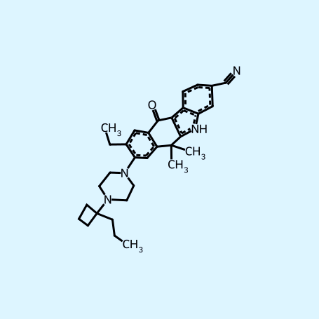 CCCC1(N2CCN(c3cc4c(cc3CC)C(=O)c3c([nH]c5cc(C#N)ccc35)C4(C)C)CC2)CCC1